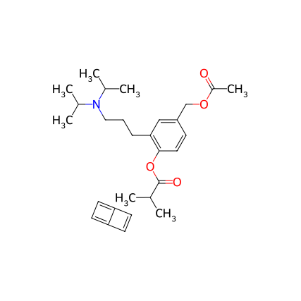 CC(=O)OCc1ccc(OC(=O)C(C)C)c(CCCN(C(C)C)C(C)C)c1.c1cc2ccc1-2